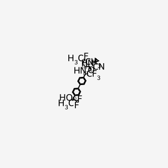 CC(C)(F)C[C@H](N[C@@H](c1ccc(-c2ccc([C@](C)(O)C(F)F)cc2)cc1)C(F)(F)F)C(=O)NC1(C#N)CC1